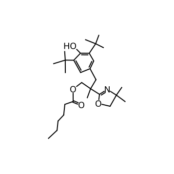 CCCCCC(=O)OCC(C)(Cc1cc(C(C)(C)C)c(O)c(C(C)(C)C)c1)C1=NC(C)(C)CO1